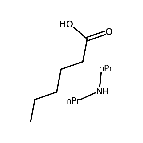 CCCCCC(=O)O.CCCNCCC